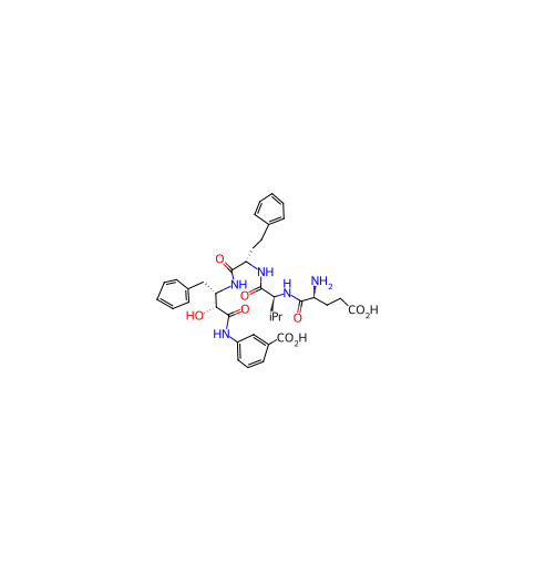 CC(C)[C@H](NC(=O)[C@@H](N)CCC(=O)O)C(=O)N[C@@H](CCc1ccccc1)C(=O)N[C@@H](Cc1ccccc1)[C@@H](O)C(=O)Nc1cccc(C(=O)O)c1